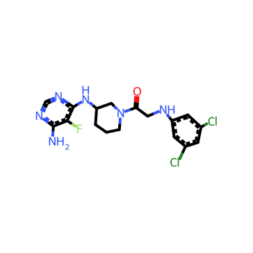 Nc1ncnc(NC2CCCN(C(=O)CNc3cc(Cl)cc(Cl)c3)C2)c1F